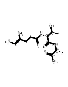 C[C@H](O)[C@@H](NC(=O)CC/C(N)=C/N)C(=O)N[C@H](C)C(N)=O